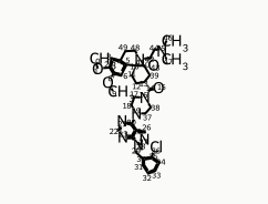 COc1cc2c(cc1OC)[C@]1(CC[C@@H](C(=O)N3CCN(c4ncnc5c4cnn5Cc4ccccc4Cl)CC3)CC1)N(C(=O)CN(C)C)CC2